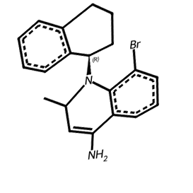 CC1C=C(N)c2cccc(Br)c2N1[C@@H]1CCCc2ccccc21